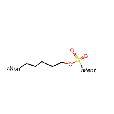 CCCCCCCCCCCCCCOS(=O)(=O)CCCCC